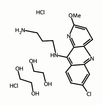 COc1ccc2nc3cc(Cl)ccc3c(NCCCN)c2n1.Cl.Cl.OCCO.OCCO